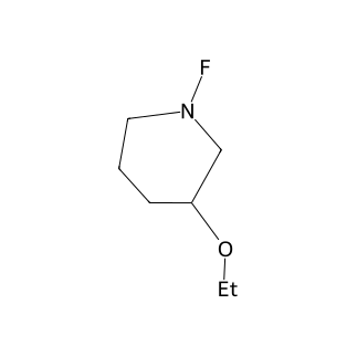 CCOC1CCCN(F)C1